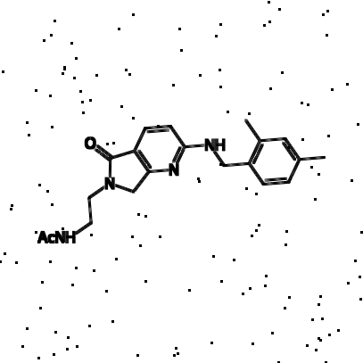 CC(=O)NCCN1Cc2nc(NCc3ccc(C)cc3C)ccc2C1=O